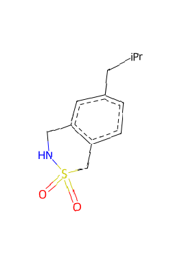 CC(C)Cc1ccc2c(c1)CNS(=O)(=O)C2